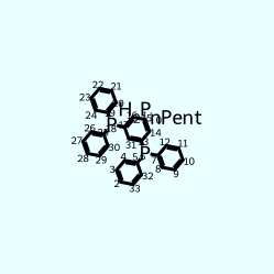 CCCCCP.c1ccc(P(c2ccccc2)c2cccc(P(c3ccccc3)c3ccccc3)c2)cc1